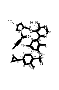 CC#CC(=O)N1C[C@H](F)CC1COc1c(N)ncnc1-c1cc(F)cc(NC(=O)c2ccc(C3CC3)cc2F)c1C